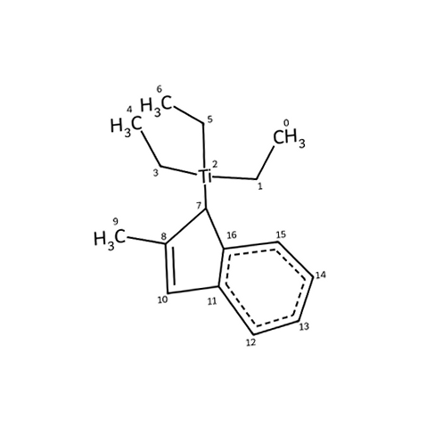 C[CH2][Ti]([CH2]C)([CH2]C)[CH]1C(C)=Cc2ccccc21